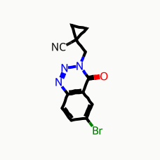 N#CC1(Cn2nnc3ccc(Br)cc3c2=O)CC1